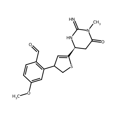 COc1ccc(C=O)c(C2C=C([C@@H]3CC(=O)N(C)C(=N)N3)SC2)c1